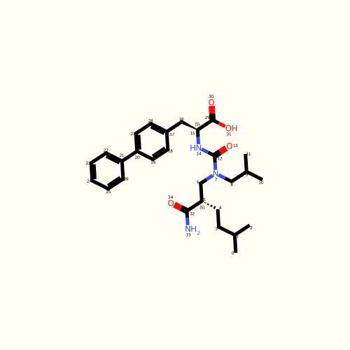 CC(C)CC[C@@H](CN(CC(C)C)C(=O)N[C@@H](Cc1ccc(-c2ccccc2)cc1)C(=O)O)C(N)=O